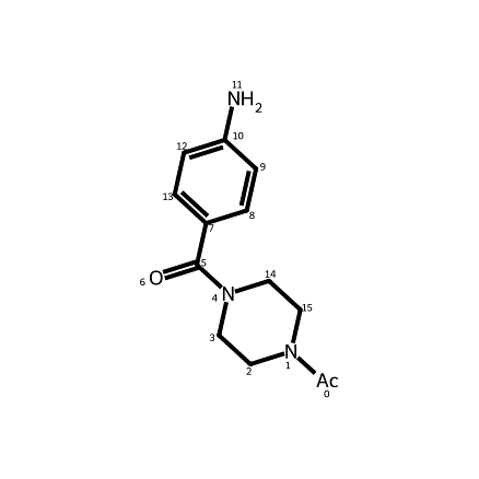 CC(=O)N1CCN(C(=O)c2ccc(N)cc2)CC1